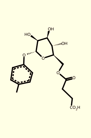 Cc1ccc(O[C@H]2O[C@H](COC(=O)CCC(=O)O)[C@@H](O)[C@H](O)[C@@H]2O)cc1